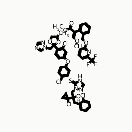 CC1COC(Cn2cncn2)(c2ccc(Oc3ccc(Cl)cc3)cc2Cl)O1.CO/C=C(/C(=O)OC)c1ccccc1COc1cccc(C(F)(F)F)n1.OC(Cc1ccccc1Cl)(Cn1nc[nH]c1=S)C1(Cl)CC1